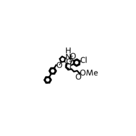 COC(=O)CCC/C=C\C[C@@H]1[C@@H](NS(=O)(=O)c2cc(Cl)ccc2Cl)CC[C@@H]1OCc1ccc(-c2ccccc2)cc1